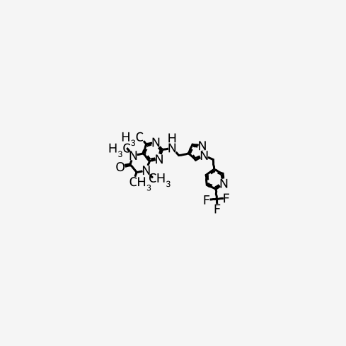 Cc1nc(NCc2cnn(Cc3ccc(C(F)(F)F)nc3)c2)nc2c1N(C)C(=O)C(C)N2C